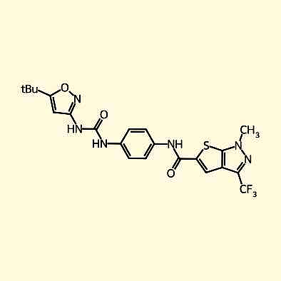 Cn1nc(C(F)(F)F)c2cc(C(=O)Nc3ccc(NC(=O)Nc4cc(C(C)(C)C)on4)cc3)sc21